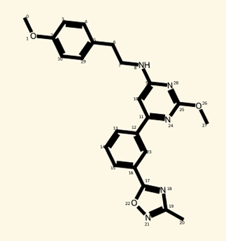 COc1ccc(CCNc2cc(-c3cccc(-c4nc(C)no4)c3)nc(OC)n2)cc1